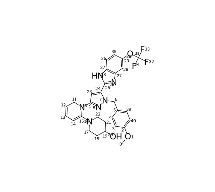 COc1ccc(Cn2nc(N3CC=CC=C3N3CCC(O)CC3)cc2-c2nc3cc(OC(F)(F)F)ccc3[nH]2)cc1